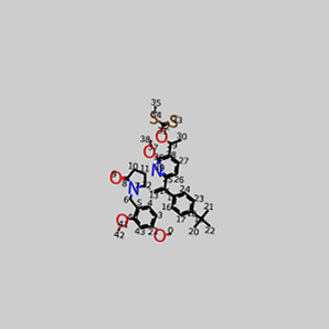 COc1ccc(CN2C(=O)CC[C@@H]2C=C(c2ccc(C(C)(C)C)cc2)c2ccc(C(C)OC(=S)SC)c(OC)n2)c(OC)c1